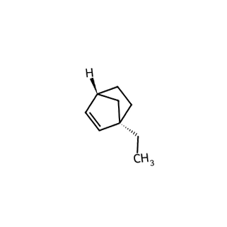 CC[C@@]12C=C[C@H](CC1)C2